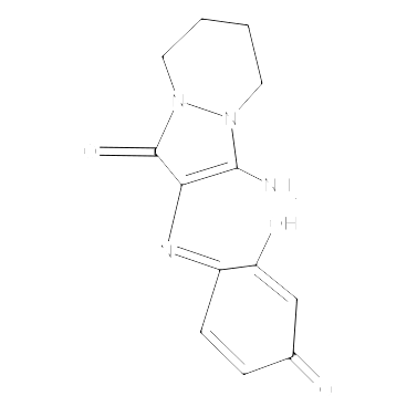 Nc1c(/N=C2/C=CC(=O)C=C2O)c(=O)n2n1CCCC2